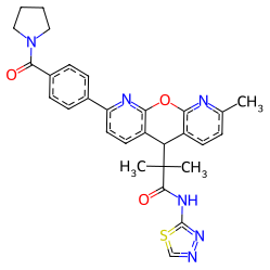 Cc1ccc2c(n1)Oc1nc(-c3ccc(C(=O)N4CCCC4)cc3)ccc1C2C(C)(C)C(=O)Nc1nncs1